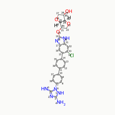 N=c1nc(N)[nH]n1-c1ccc(-c2ccc(-c3cc4nc(O[C@@H]5CO[C@H]6[C@@H]5OC[C@H]6O)[nH]c4cc3Cl)cc2)cc1